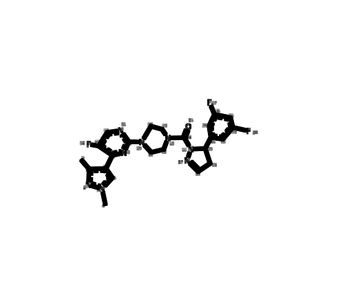 Cc1nn(C)cc1-c1nc(N2CCN(C(=O)N3N=CCC3c3cc(F)cc(F)c3)CC2)ncc1F